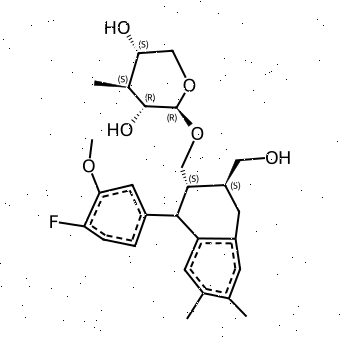 COc1cc(C2c3cc(C)c(C)cc3C[C@H](CO)[C@H]2CO[C@@H]2OC[C@@H](O)[C@H](C)[C@H]2O)ccc1F